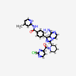 Cc1ccnc(NC(=O)c2ccc(-c3nc(C4CCCCN4C(=O)c4ccnc(Cl)n4)n4ccnc(N)c34)cc2)c1